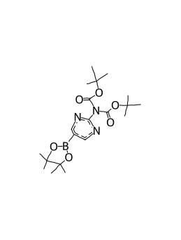 CC(C)(C)OC(=O)N(C(=O)OC(C)(C)C)c1ncc(B2OC(C)(C)C(C)(C)O2)cn1